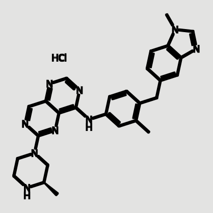 Cc1cc(Nc2ncnc3cnc(N4CCN[C@H](C)C4)nc23)ccc1Cc1ccc2c(c1)ncn2C.Cl